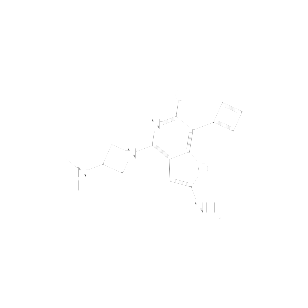 CNC1CN(c2nc(Cl)c(C3=CC=C3)c3oc(N)cc23)C1